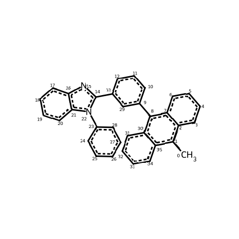 Cc1c2ccccc2c(-c2cccc(-c3nc4ccccc4n3-c3ccccc3)c2)c2ccccc12